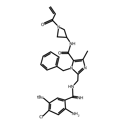 C=CC(=O)N1CC(NC(=O)c2c(C)nc(CNC(=N)c3cc(C(C)(C)C)c(Cl)cc3N)n2Cc2ccccc2)C1